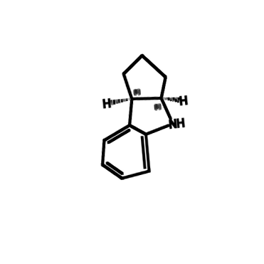 c1ccc2c(c1)N[C@@H]1CCC[C@H]21